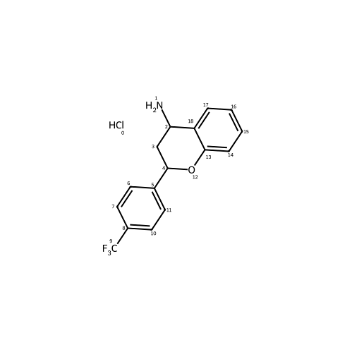 Cl.NC1CC(c2ccc(C(F)(F)F)cc2)Oc2ccccc21